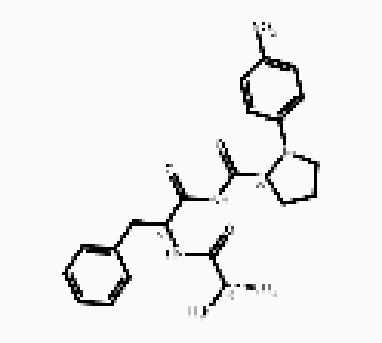 C[C@H](N)C(=O)N[C@@H](Cc1ccccc1)C(=O)NC(=O)[C@@H]1CCCN1c1ccc([N+](=O)[O-])cc1